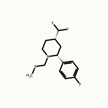 CSCN1CC[C@H](C(F)F)C[C@@H]1c1ccc(F)cc1